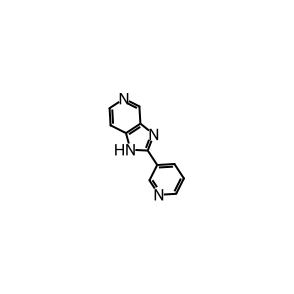 c1cncc(-c2nc3cnccc3[nH]2)c1